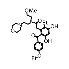 CCOc1ccc(C(=O)c2c(O)cc(O)c(CC)c2CC(=O)N(CCOC)CCN2CCOCC2)cc1